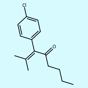 CCCCC(=O)C(=C(C)C)c1ccc(Cl)cc1